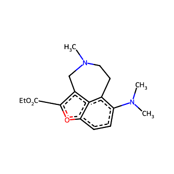 CCOC(=O)c1oc2ccc(N(C)C)c3c2c1CN(C)CC3